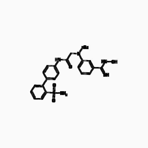 CCCCN(CC(=O)Nc1ccc(-c2ccccc2S(N)(=O)=O)cc1)c1cccc(C(=N)NO)c1